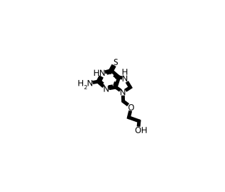 Nc1nc2c(c(=S)[nH]1)NCN2COCCO